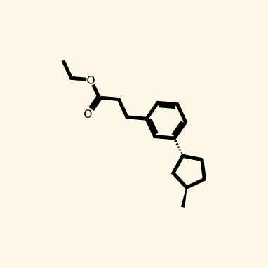 CCOC(=O)CCc1cccc([C@@H]2CC[C@@H](C)C2)c1